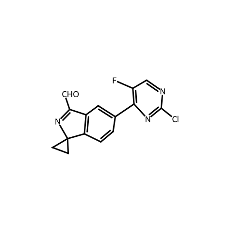 O=CC1=NC2(CC2)c2ccc(-c3nc(Cl)ncc3F)cc21